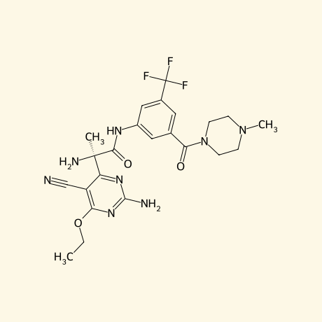 CCOc1nc(N)nc([C@@](C)(N)C(=O)Nc2cc(C(=O)N3CCN(C)CC3)cc(C(F)(F)F)c2)c1C#N